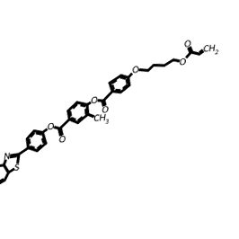 C=CC(=O)OCCCCOc1ccc(C(=O)Oc2ccc(C(=O)Oc3ccc(C4=NC5C=CC=CC5S4)cc3)cc2C)cc1